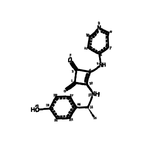 C=C1C(=O)C(Nc2ccncc2)=C1N[C@H](C)c1ccc(O)cc1